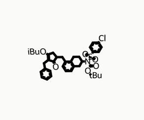 CC(C)COC1=C(Cc2ccccc2)C(=O)C(Cc2cccc3c2CCC(N(C(=O)OC(C)(C)C)S(=O)(=O)c2ccc(Cl)cc2)C3)C1